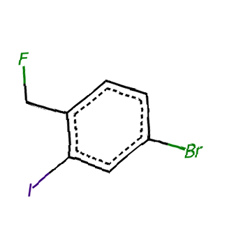 FCc1ccc(Br)cc1I